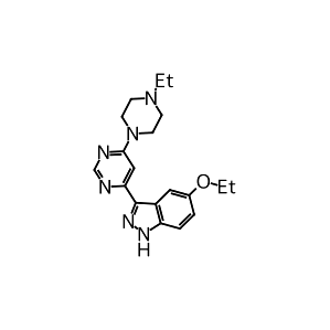 CCOc1ccc2[nH]nc(-c3cc(N4CCN(CC)CC4)ncn3)c2c1